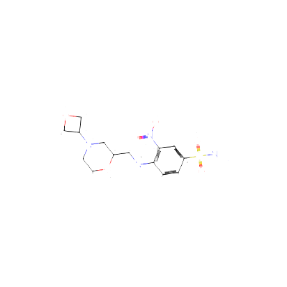 NS(=O)(=O)c1ccc(NCC2CN(C3COC3)CCO2)c([N+](=O)[O-])c1